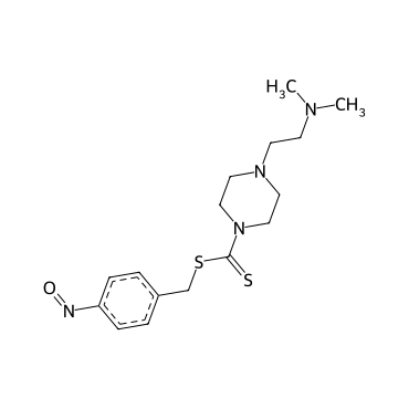 CN(C)CCN1CCN(C(=S)SCc2ccc(N=O)cc2)CC1